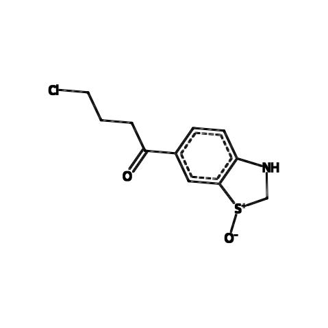 O=C(CCCCl)c1ccc2c(c1)[S+]([O-])CN2